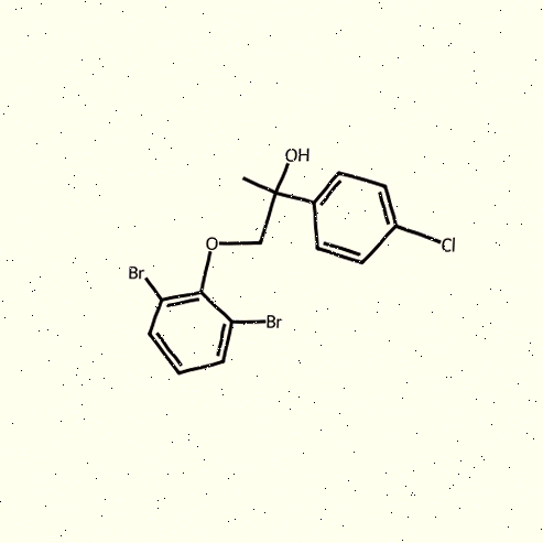 CC(O)(COc1c(Br)cccc1Br)c1ccc(Cl)cc1